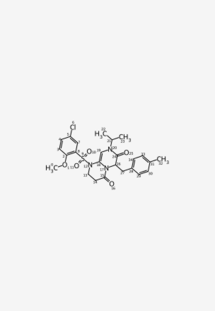 COc1ccc(Cl)cc1S(=O)(=O)N1CCC(=O)N2C1=CN(C(C)C)C(=O)C2Cc1ccc(C)cc1